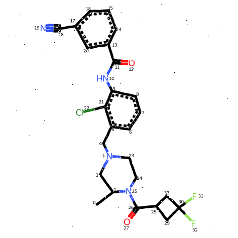 CC1CN(Cc2cccc(NC(=O)c3cccc(C#N)c3)c2Cl)CCN1C(=O)C1CC(F)(F)C1